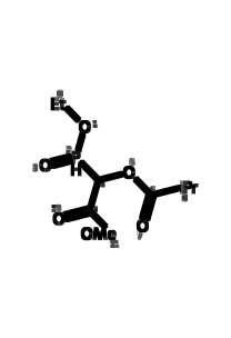 CCO[PH](=O)C(OC(=O)C(C)C)C(=O)OC